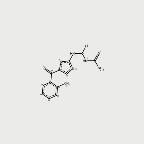 [CH2]CC(NC(N)=S)Nc1nc(C(=O)c2ccccc2C)cs1